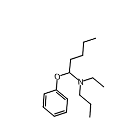 CCCCC(Oc1ccccc1)N(CC)CCC